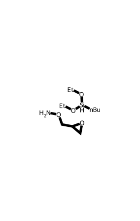 CCCC[SiH](OCC)OCC.NOCC1CO1